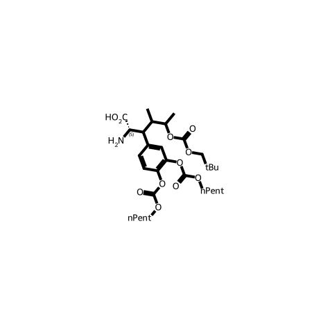 CCCCCOC(=O)Oc1ccc(C(C(C)C(C)OC(=O)OCC(C)(C)C)[C@H](N)C(=O)O)cc1OC(=O)OCCCCC